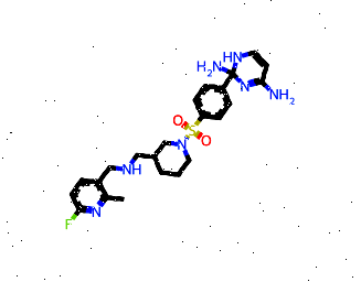 Cc1nc(F)ccc1CNCC1CCCN(S(=O)(=O)c2ccc(C3(N)N=C(N)C=CN3)cc2)C1